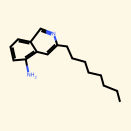 CCCCCCCCc1cc2c(N)cccc2cn1